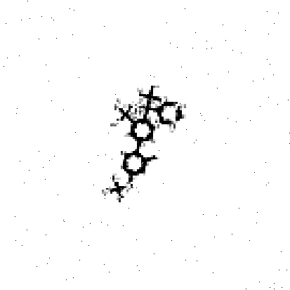 Cc1cc(OC(F)(F)F)ccc1-c1ccc(C(O)(c2cncnc2)C(C)(C)C)c(C(F)(F)F)c1